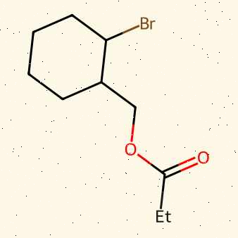 CCC(=O)OCC1CCCCC1Br